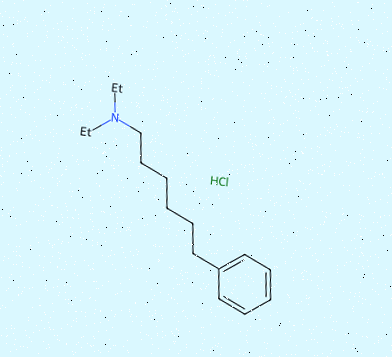 CCN(CC)CCCCCCc1ccccc1.Cl